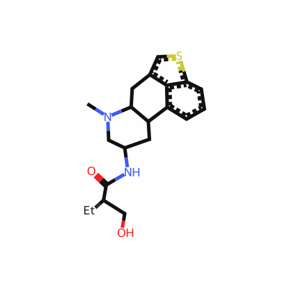 CCC(CO)C(=O)NC1CC2c3cccc4scc(c34)CC2N(C)C1